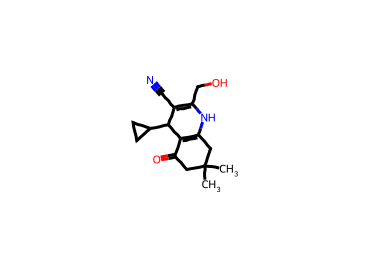 CC1(C)CC(=O)C2=C(C1)NC(CO)=C(C#N)C2C1CC1